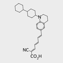 N#C\C(=C/C=C/C=C/c1ccc2c(c1)CCCN2C1CCC(C2CCCCC2)CC1)C(=O)O